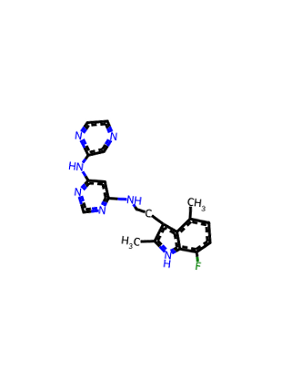 Cc1[nH]c2c(F)ccc(C)c2c1CCNc1cc(Nc2cnccn2)ncn1